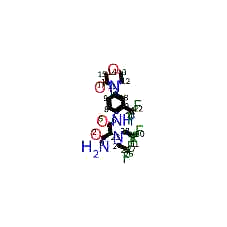 NC(=O)[C@H](C(=O)Nc1ccc(N2CCOCC2=O)cc1C(F)F)N(CC(F)F)CC(F)F